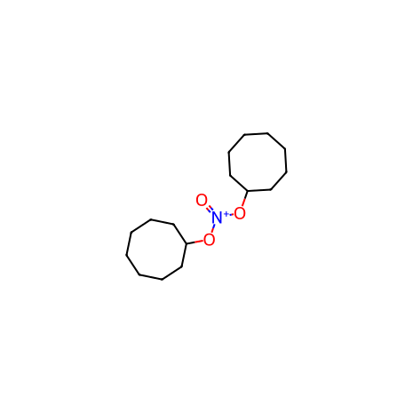 O=[N+](OC1CCCCCCC1)OC1CCCCCCC1